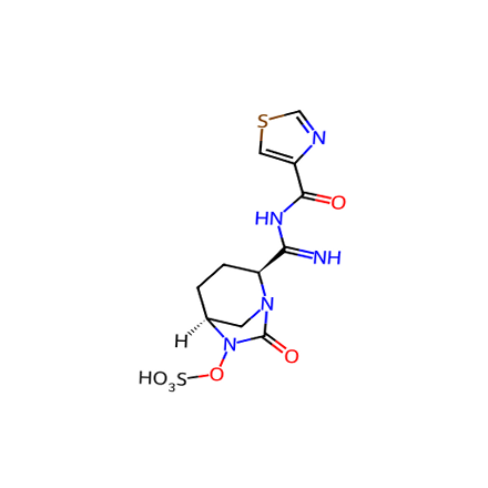 N=C(NC(=O)c1cscn1)[C@@H]1CC[C@H]2CN1C(=O)N2OS(=O)(=O)O